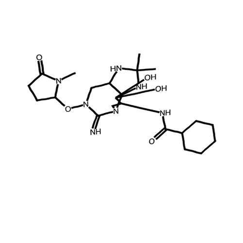 CN1C(=O)CCC1ON1CC2NC(C)(C)NC23N(CC(NC(=O)C2CCCCC2)C3(O)O)C1=N